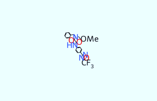 COCCN(Cc1ccccc1)C(=O)C(=O)Nc1ccc(-c2noc(C(F)(F)F)n2)cc1